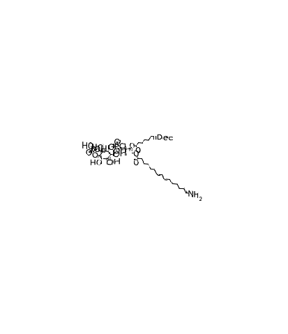 CCCCCCCCCCCCCCCC(=O)O[C@H](COC(=O)CCCCCCCCCCCCCCN)COP(=O)(O)OC1C(O)[C@@H](O)C(O)[C@@H](OP(=O)(O)O)[C@H]1O